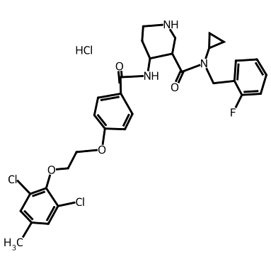 Cc1cc(Cl)c(OCCOc2ccc(C(=O)NC3CCNCC3C(=O)N(Cc3ccccc3F)C3CC3)cc2)c(Cl)c1.Cl